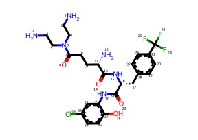 NCCN(CCN)C(=O)CC[C@H](N)C(=O)N[C@H](Cc1ccc(C(F)(F)F)cc1)C(=O)Nc1cc(Cl)ccc1O